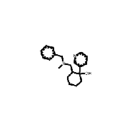 CN(Cc1ccccc1)CC1CCCCC1(O)c1cccnc1